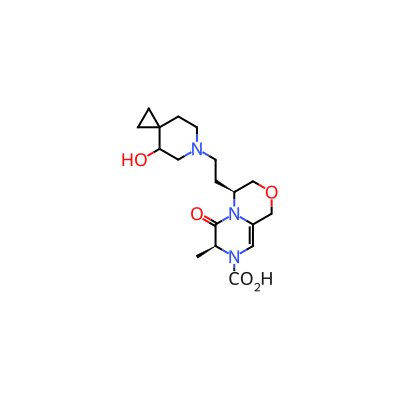 C[C@H]1C(=O)N2C(=CN1C(=O)O)COC[C@@H]2CCN1CCC2(CC2)C(O)C1